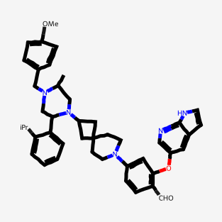 COc1ccc(CN2CC(c3ccccc3C(C)C)N(C3CC4(CCN(c5ccc(C=O)c(Oc6cnc7[nH]ccc7c6)c5)CC4)C3)CC2C)cc1